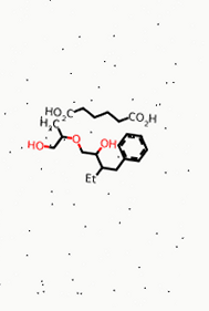 CCC(Cc1ccccc1)C(O)COC(C)CO.O=C(O)CCCCC(=O)O